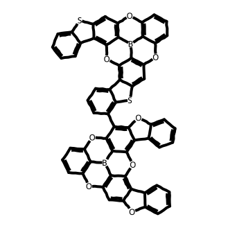 c1cc2c3c(c1)Oc1cc4sc5c(-c6c7c8c(c9c6oc6ccccc69)Oc6c9c(cc%10oc%11ccccc%11c6%10)Oc6cccc(c6B98)O7)cccc5c4c4c1B3c1c(cc3sc5ccccc5c3c1O4)O2